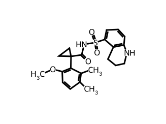 COc1ccc(C)c(C)c1C1(C(=O)NS(=O)(=O)c2cccc3c2CCCN3)CC1